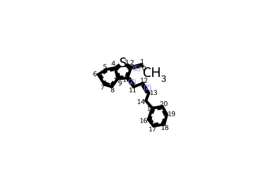 C/C=c1/sc2ccccc2/c1=C/C=C\Cc1ccccc1